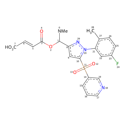 CNC(OC(=O)/C=C/C(=O)O)c1cc(S(=O)(=O)c2cccnc2)n(-c2cc(F)ccc2C)n1